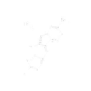 C#CC1=C(C)C(=Cc2ccc(Br)cc2)c2ccc([N+](=O)[O-])cc21